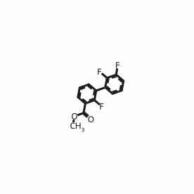 COC(=O)c1cccc(-c2cccc(F)c2F)c1F